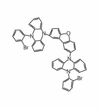 Brc1ccccc1N1c2ccccc2N(c2ccc3oc4ccc(N5c6ccccc6N(c6ccccc6Br)c6ccccc65)cc4c3c2)c2ccccc21